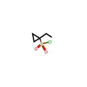 CCC1(S(=O)(=O)Cl)CC1